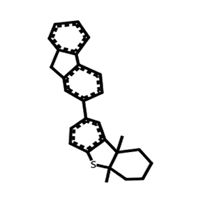 CC12CCCCC1(C)c1cc(-c3ccc4c(c3)Cc3ccccc3-4)ccc1S2